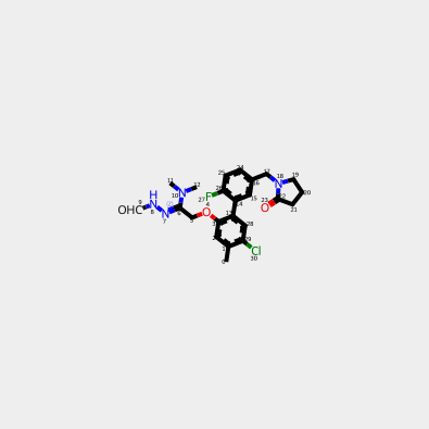 Cc1cc(OC/C(=N/NC=O)N(C)C)c(-c2cc(CN3CCCC3=O)ccc2F)cc1Cl